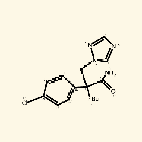 CCCCC(Cn1cncn1)(C(N)=O)c1ccc(Cl)cc1